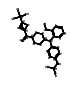 COc1ccncc1N(c1ccc(OC(F)F)cc1)C1CCN(C(=O)C23CC(C(F)(F)F)(C2)C3)CC1